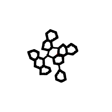 c1ccc(-c2cccc(N(c3ccc4ccccc4c3-c3ccc4ccccc4c3)c3c4ccccc4cc4ccccc34)c2)cc1